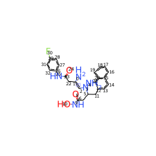 N/C(=C\N(N)C(CC(=O)NO)Cc1ccc2ccccc2c1)CC(=O)Nc1ccc(F)cc1